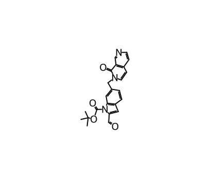 CC(C)(C)OC(=O)n1c(C=O)cc2ccc(Cn3ccc4ccncc4c3=O)cc21